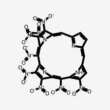 O=[N+]([O-])C1=C([N+](=O)[O-])c2nc1c([N+](=O)[O-])c1[nH]c(cc3nc(cc4c([N+](=O)[O-])c([N+](=O)[O-])c(c2[N+](=O)[O-])n4[N+](=O)[O-])C=C3)cc1[N+](=O)[O-]